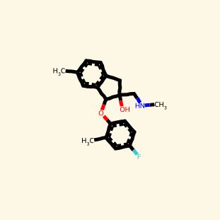 CNCC1(O)Cc2ccc(C)cc2C1Oc1ccc(F)cc1C